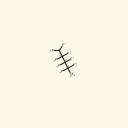 FC(F)C(F)(F)C(F)(F)C(F)(F)C(F)(F)F